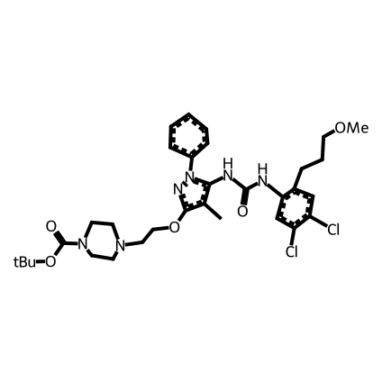 COCCCc1cc(Cl)c(Cl)cc1NC(=O)Nc1c(C)c(OCCN2CCN(C(=O)OC(C)(C)C)CC2)nn1-c1ccccc1